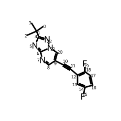 CC(C)(C)c1nc2ncc(C#Cc3cc(F)ccc3F)cn2n1